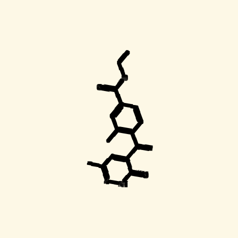 C=C(c1ccc(C(=O)OCC)cc1C)c1cc(C)n[nH]c1=O